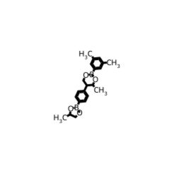 Cc1cc(C)cc(B2OCC(c3ccc(B4OCC(C)O4)cc3)C(C)O2)c1